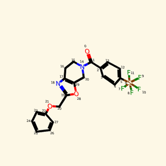 O=C(c1ccc(S(F)(F)(F)(F)F)cc1)N1CCc2nc(COc3ccccc3)oc2C1